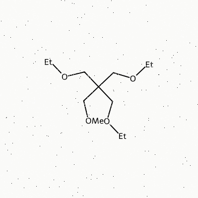 CCOCC(COC)(COCC)COCC